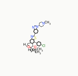 CC(=O)[C@@H](OC(C)(C)C)c1c(C)cc2nc(-c3ccc4c(c3)ncn4C3CCN(C)CC3)sc2c1-c1ccc(Cl)cc1